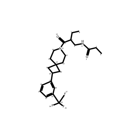 CCC(=O)NCC(CC)C(=O)N1CCC2(CC1)CC(c1cccc(C(F)(F)F)c1)C2